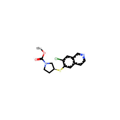 CC(C)(C)OC(=O)N1CC[C@H](Sc2cc3ccncc3cc2Cl)C1